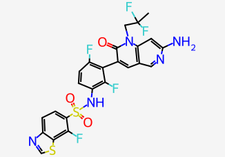 CC(F)(F)Cn1c(=O)c(-c2c(F)ccc(NS(=O)(=O)c3ccc4ncsc4c3F)c2F)cc2cnc(N)cc21